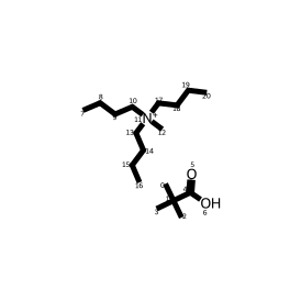 CC(C)(C)C(=O)O.CCCC[N+](C)(CCCC)CCCC